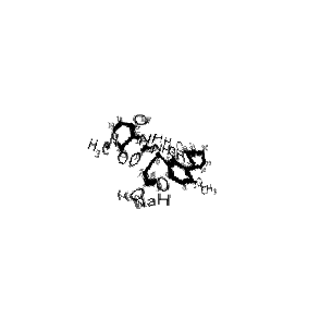 COc1ccc(C(CC(=O)O)NC(=O)NC2C(=O)C=CN(C)C2=O)c(C)c1-c1ccccc1C.[NaH]